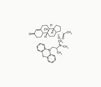 CC(=O)[C@H]1CC[C@H]2[C@@H]3CCC4=CC(=O)CC[C@]4(C)[C@H]3CC[C@]12C.CC(CN1c2ccccc2Sc2ccccc21)N(C)C